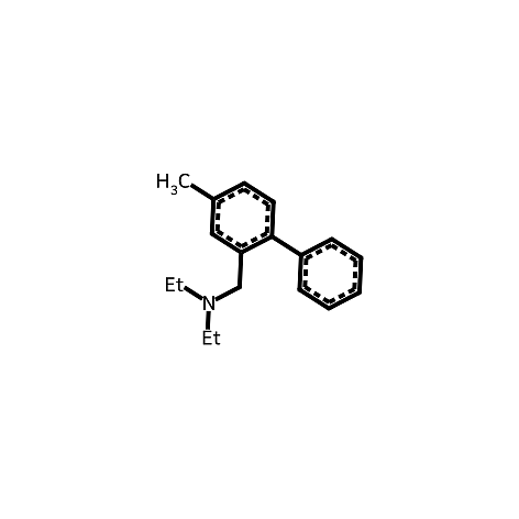 CCN(CC)Cc1cc(C)ccc1-c1ccccc1